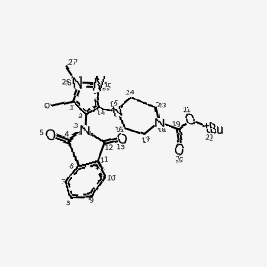 Cc1c(N2C(=O)c3ccccc3C2=O)c(N2CCN(C(=O)OC(C)(C)C)CC2)nn1C